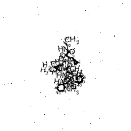 C=CCNC(=O)C(=O)C(CC1CC1)NC(=O)[C@@H]1[C@@H]2[C@H](CN1C(=O)[C@@H](NC(=O)NC1(CN(C)S(=O)(=O)c3ccccc3)CCCCC1)C(C)(C)C)C2(C)C